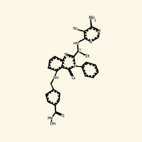 CC[C@H](Nc1ncnc(N)c1C#N)c1nc2cccc(NCc3ccc(C(=O)NO)cc3)c2c(=O)n1-c1ccccc1